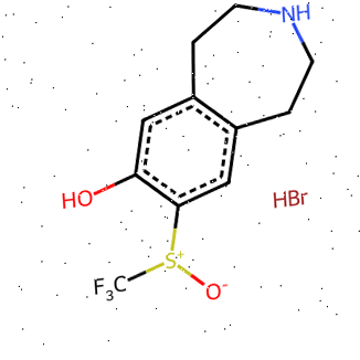 Br.[O-][S+](c1cc2c(cc1O)CCNCC2)C(F)(F)F